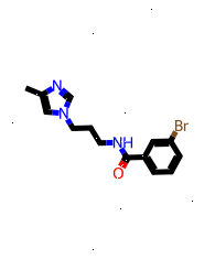 Cc1cn(CCCNC(=O)c2cccc(Br)c2)cn1